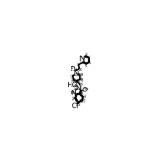 O=C(CCc1ccccn1)N1CCC(O)(Cn2cnc3cc(Cl)ccc3c2=O)CC1